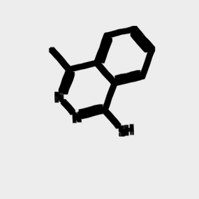 Cc1nnc(S)c2ccccc12